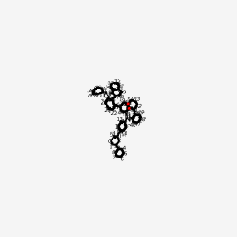 C1=CC(c2ccccc2)CC(c2ccc(N(c3cccc(-c4cccc5c4c4ccc6ccccc6c4n5-c4ccccc4)c3)c3ccccc3-c3ccccc3)cc2)=C1